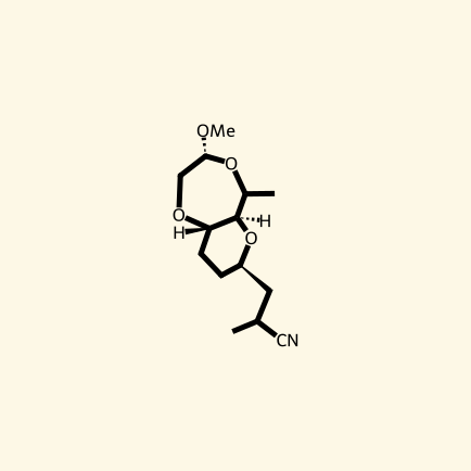 CO[C@H]1CO[C@H]2CC[C@H](CC(C)C#N)O[C@@H]2C(C)O1